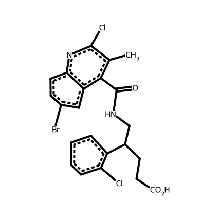 Cc1c(Cl)nc2ccc(Br)cc2c1C(=O)NCC(CCC(=O)O)c1ccccc1Cl